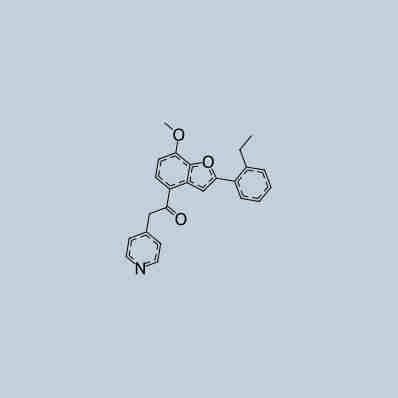 CCc1ccccc1-c1cc2c(C(=O)Cc3ccncc3)ccc(OC)c2o1